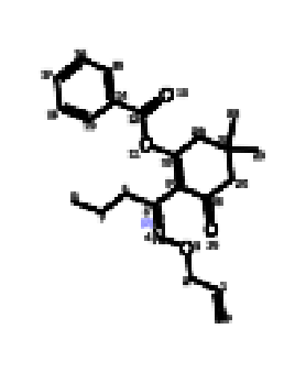 C=CCO/N=C(/CCC)C1=C(OC(=O)c2ccccc2)CC(C)(C)CC1=O